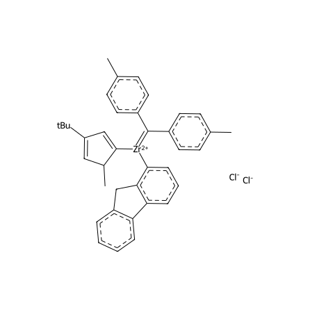 Cc1ccc([C](c2ccc(C)cc2)=[Zr+2]([C]2=CC(C(C)(C)C)=CC2C)[c]2cccc3c2Cc2ccccc2-3)cc1.[Cl-].[Cl-]